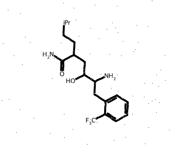 CC(C)CCC(CC(O)C(N)Cc1ccccc1C(F)(F)F)C(N)=O